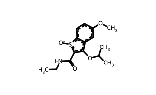 CCNC(=O)c1c(OC(C)C)c2cc(OC)ccc2[s+]1[O-]